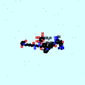 CCNc1cc(C2(Cc3nncn3C)COC2)cc(N2Cc3c(SC)cc(C[N+]4(Cc5ccc(O[C@@H]6O[C@H](C(=O)O)[C@@H](O)[C@H](O)[C@H]6O)c(C(=O)NCCNC(=O)CCCCCN6C(=O)C=CC6=O)c5)CCC[C@H](C)C4)cc3C2=O)n1